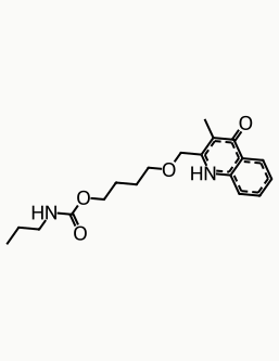 CCCNC(=O)OCCCCOCc1[nH]c2ccccc2c(=O)c1C